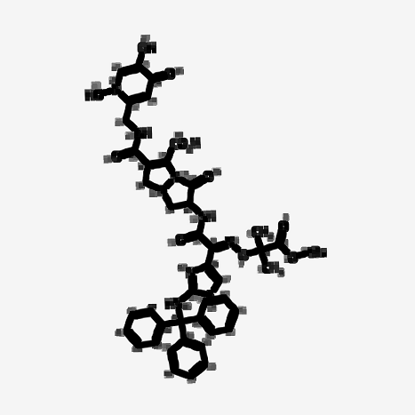 CC(C)(C)OC(=O)C(C)(C)ON=C(C(=O)NC1CN2CC(C(=O)NCc3cc(=O)c(O)cn3O)=C(C(=O)O)N2C1=O)c1csc(NC(c2ccccc2)(c2ccccc2)c2ccccc2)n1